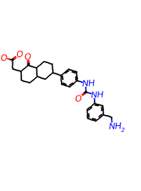 NCc1cccc(NC(=O)Nc2ccc(C3CCC4C(=O)C(CC(=O)O)CCC4C3)cc2)c1